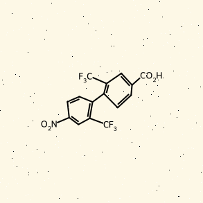 O=C(O)c1ccc(-c2ccc([N+](=O)[O-])cc2C(F)(F)F)c(C(F)(F)F)c1